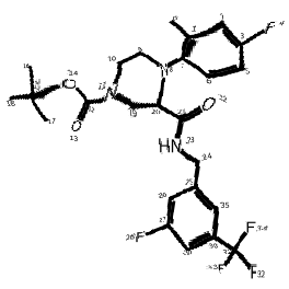 Cc1cc(F)ccc1N1CCN(C(=O)OC(C)(C)C)CC1C(=O)NCc1cc(F)cc(C(F)(F)F)c1